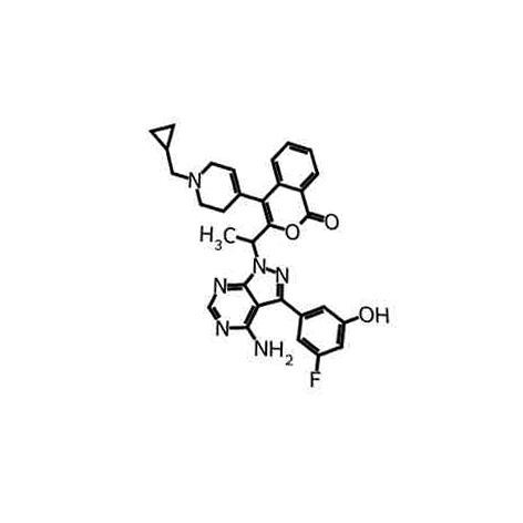 CC(c1oc(=O)c2ccccc2c1C1=CCN(CC2CC2)CC1)n1nc(-c2cc(O)cc(F)c2)c2c(N)ncnc21